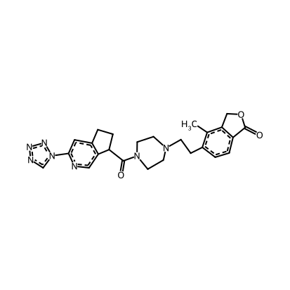 Cc1c(CCN2CCN(C(=O)C3CCc4cc(-n5cnnn5)ncc43)CC2)ccc2c1COC2=O